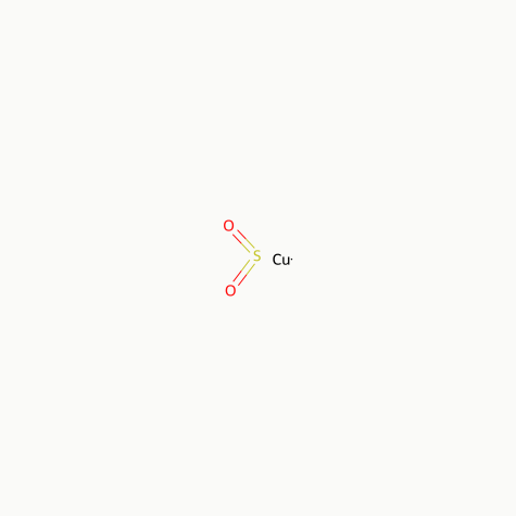 O=S=O.[Cu]